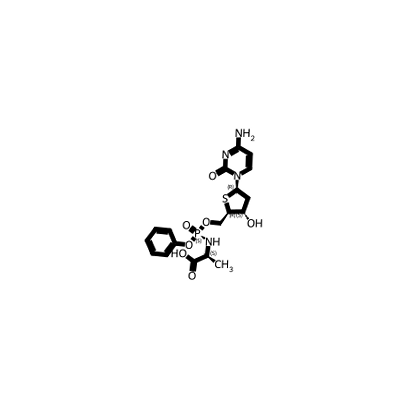 C[C@H](N[P@](=O)(OC[C@H]1S[C@@H](n2ccc(N)nc2=O)C[C@@H]1O)Oc1ccccc1)C(=O)O